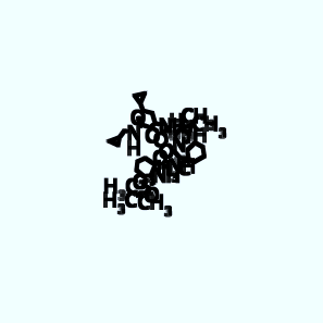 CC1([C@H](NC(=O)NC2(CS(=O)(=O)C(C)(C)C)CCCCC2)C(=O)N2C[C@H]3[C@@H]([C@H]2C(=O)NC(CCC2CC2)C(=O)C(=O)NCC2CC2)C3(C)C)CCCCC1